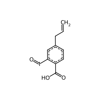 C=CCc1ccc(C(=O)O)c(I=O)c1